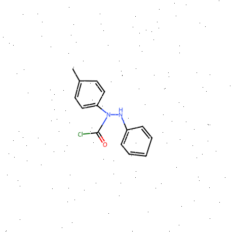 Cc1ccc(N(Nc2ccccc2)C(=O)Cl)cc1